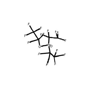 O=P(OC(F)(F)C(F)(F)F)(C(F)(F)C(F)(F)F)C(F)(F)C(F)(F)F